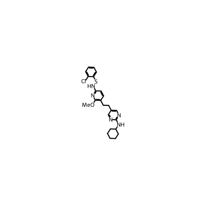 COc1nc(NSc2ccccc2Cl)ccc1CCc1cnc(NC2CCCCC2)nc1